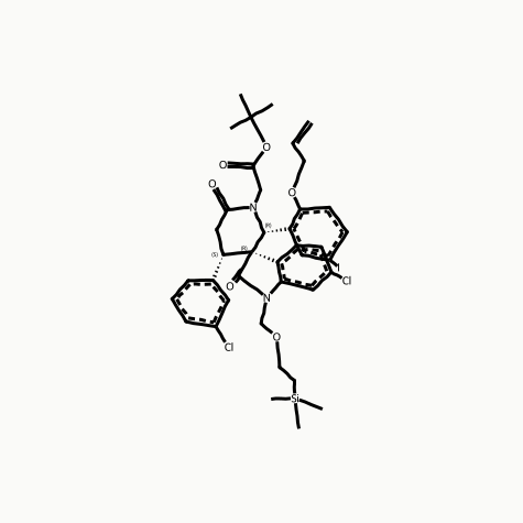 C=CCOc1ccc(I)cc1[C@H]1N(CC(=O)OC(C)(C)C)C(=O)C[C@@H](c2cccc(Cl)c2)[C@]12C(=O)N(COCC[Si](C)(C)C)c1cc(Cl)ccc12